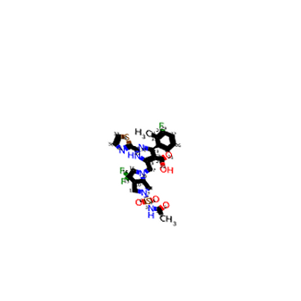 CC(=O)NS(=O)(=O)N1CC2C(C1)C(F)(F)CN2CC1=C(C(=O)O)[C@H](c2cccc(F)c2C)N=C(c2nccs2)N1